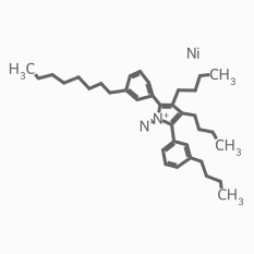 CCCCCCCCc1cccc(C2=C(CCCC)C(CCCC)=C(c3cccc(CCCC)c3)[N+]2=[N-])c1.[Ni]